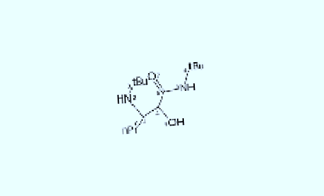 CCCC(NC(C)(C)C)C(O)C(=O)NC(C)(C)C